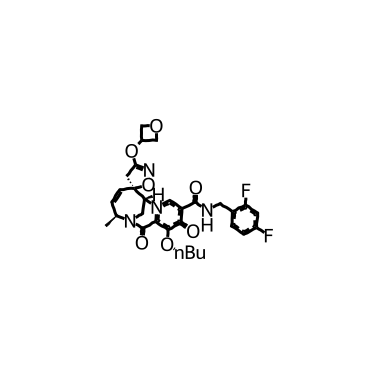 CCCCOc1c2n(cc(C(=O)NCc3ccc(F)cc3F)c1=O)[C@@H]1CN(C2=O)[C@@H](C)C=C[C@]12CC(OC1COC1)=NO2